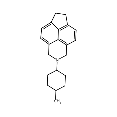 CC1CCC(N2Cc3ccc4c5c(ccc(c35)C2)CC4)CC1